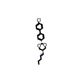 CCC/C=C/[C@H]1CO[C@H](c2ccc(-c3ccc(Cl)cc3)cc2)OC1